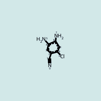 N#Cc1cc(N)c(N)cc1Cl